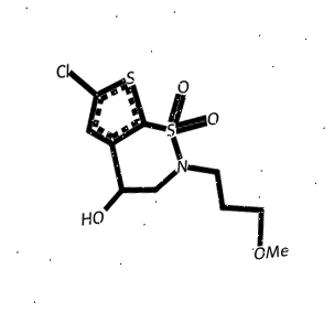 COCCCN1CC(O)c2cc(Cl)sc2S1(=O)=O